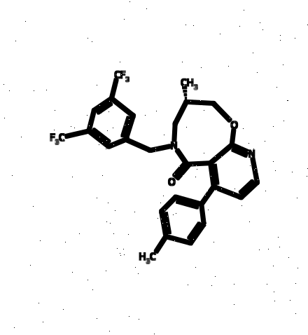 Cc1ccc(-c2ccnc3c2C(=O)N(Cc2cc(C(F)(F)F)cc(C(F)(F)F)c2)C[C@H](C)CO3)cc1